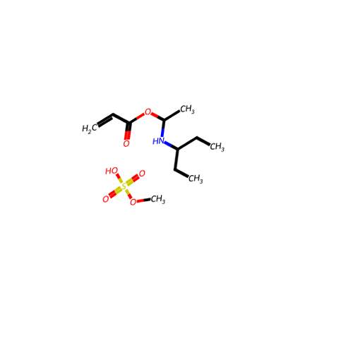 C=CC(=O)OC(C)NC(CC)CC.COS(=O)(=O)O